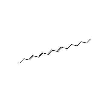 [CH2]CC=CC=CC=CC=CCCCCCC